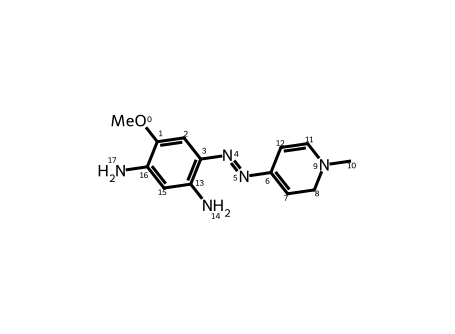 COc1cc(N=NC2=CCN(C)C=C2)c(N)cc1N